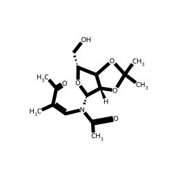 CC(=O)/C(C)=C\N(C(C)=O)[C@@H]1O[C@H](CO)C2OC(C)(C)O[C@@H]21